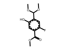 COC(=O)c1cc(O)c(C(OC)OC)cc1F